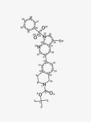 CC(C)(C)OC(=O)N1CCc2cc(-c3cnc4c(c3)c(I)cn4S(=O)(=O)c3ccccc3)ccc2C1